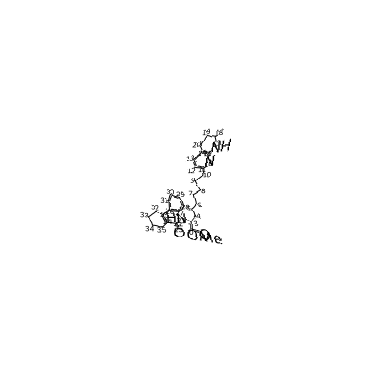 COC(=O)[C@H](CCCCCCCc1ccc2c(n1)NCCC2)NC(=O)C1=C(c2ccccc2)CCCC1